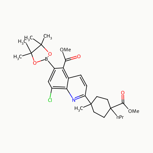 CCCC1(C(=O)OC)CCC(C)(c2ccc3c(C(=O)OC)c(B4OC(C)(C)C(C)(C)O4)cc(Cl)c3n2)CC1